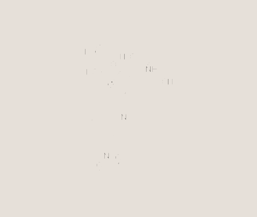 CC1=CC(c2ccc(-c3cccc([N+](=O)[O-])c3)nc2)C(C(=O)OC(C)C)=C(C)N1